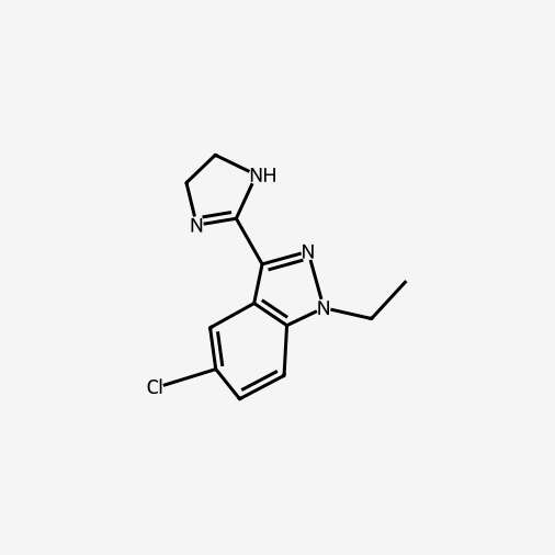 CCn1nc(C2=NCCN2)c2cc(Cl)ccc21